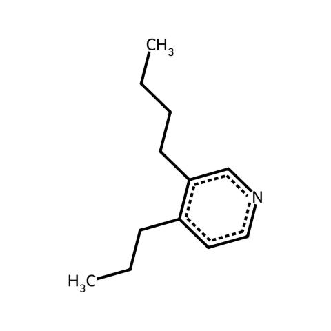 CCCCc1cnccc1CCC